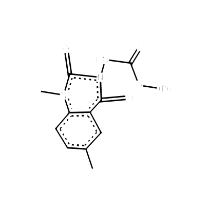 Cc1ccc2c(c1)c(=O)n(NC(=O)OC(C)(C)C)c(=O)n2C